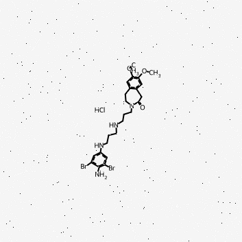 COc1cc2c(cc1OC)CC(=O)N(CCCNCCCNc1cc(Br)c(N)c(Br)c1)CC2.Cl